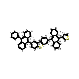 c1ccc(-c2c3ccccc3c(-c3ccc4sc5cc(-c6c7ccccc7c(-c7ccsc7)c7ccccc67)ccc5c4c3)c3ccccc23)cc1